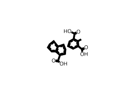 Cc1c(C(=O)O)cccc1C(=O)O.O=C(O)c1cccc2ccccc12